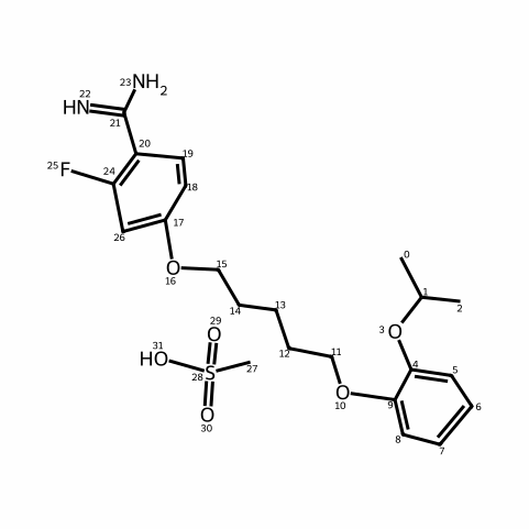 CC(C)Oc1ccccc1OCCCCCOc1ccc(C(=N)N)c(F)c1.CS(=O)(=O)O